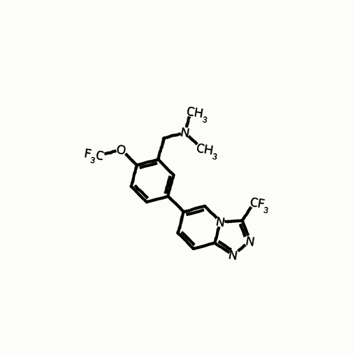 CN(C)Cc1cc(-c2ccc3nnc(C(F)(F)F)n3c2)ccc1OC(F)(F)F